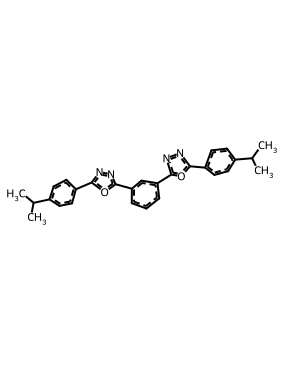 CC(C)c1ccc(-c2nnc(-c3cccc(-c4nnc(-c5ccc(C(C)C)cc5)o4)c3)o2)cc1